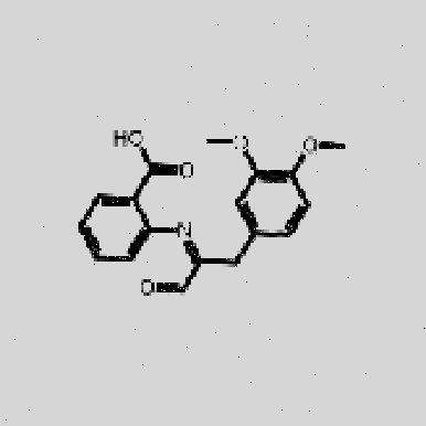 COc1ccc(CC(C=O)=Nc2ccccc2C(=O)O)cc1OC